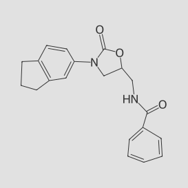 O=C(NCC1CN(c2ccc3c(c2)CCC3)C(=O)O1)c1ccccc1